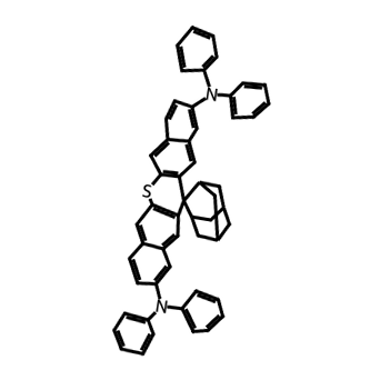 c1ccc(N(c2ccccc2)c2ccc3cc4c(cc3c2)C2(c3cc5cc(N(c6ccccc6)c6ccccc6)ccc5cc3S4)C3CC4CC(C3)CC2C4)cc1